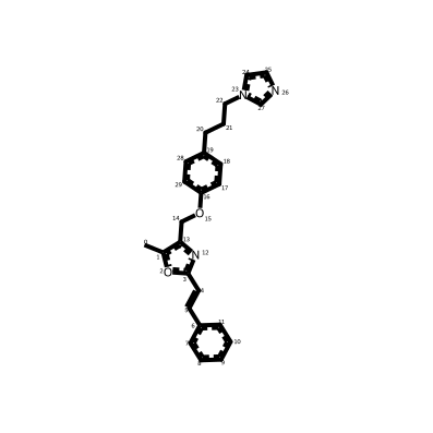 Cc1oc(C=Cc2ccccc2)nc1COc1ccc(CCCn2ccnc2)cc1